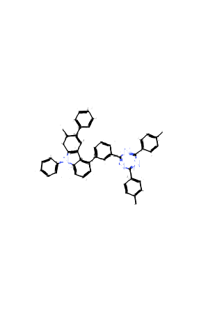 Cc1ccc(-c2nc(-c3ccc(C)cc3)nc(-c3cccc(-c4cccc5c4c4c(n5-c5ccccc5)CC(C)C(c5ccccc5)=C4)c3)n2)cc1